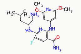 COc1cc(Nc2nc(NC(CN)CC(C)C)c(F)cc2C(N)=O)cc(OC)n1